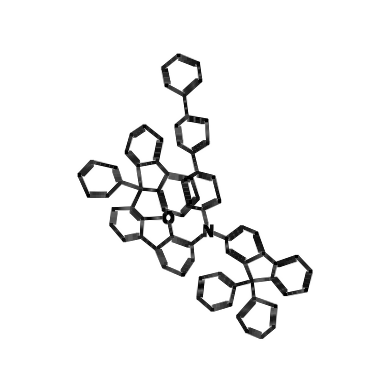 c1ccc(-c2ccc(-c3ccc(N(c4ccc5c(c4)C(c4ccccc4)(c4ccccc4)c4ccccc4-5)c4cccc5c4oc4c(C6(c7ccccc7)c7ccccc7-c7ccccc76)cccc45)cc3)cc2)cc1